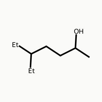 CCC(CC)CCC(C)O